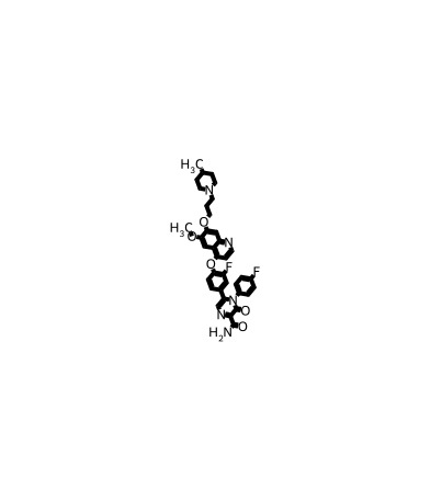 COc1cc2c(Oc3ccc(-c4cnc(C(N)=O)c(=O)n4-c4ccc(F)cc4)cc3F)ccnc2cc1OCCCN1CCC(C)CC1